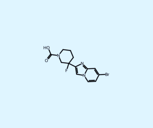 O=C(O)N1CCCC(F)(c2cn3ccc(Br)cc3n2)C1